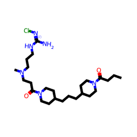 CCCC(=O)N1CCC(CCCC2CCN(C(=O)CCN(C)CCCN/C(N)=N\Cl)CC2)CC1